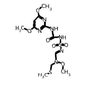 COc1cc(OC)nc(NC(=O)NS(=O)(=O)N=CN(CSC)OC)n1